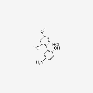 COc1ccc(-c2cc(N)ccc2O)c(OC)c1.Cl